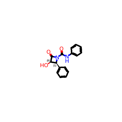 O=C(Nc1ccccc1)N1C(=O)[C@H](O)[C@@H]1c1ccccc1